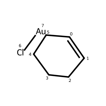 C1=CCCCC1.[Cl][Au]